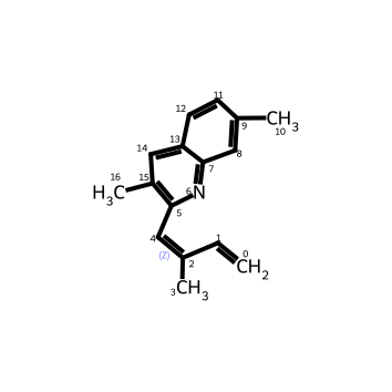 C=C/C(C)=C\c1nc2cc(C)ccc2cc1C